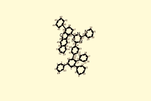 c1ccc(-c2cc(-c3ccccc3)c(-c3ccccc3)c(-c3ccc(-c4nc(-c5ccccn5)nc(-c5ccc(-c6ccccc6)c6oc7cc8ccccc8cc7c56)n4)cc3)c2)cc1